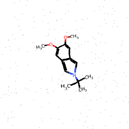 COc1cc2cn(C(C)(C)C)cc2cc1OC